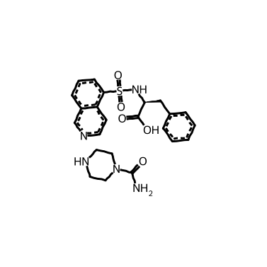 NC(=O)N1CCNCC1.O=C(O)[C@H](Cc1ccccc1)NS(=O)(=O)c1cccc2cnccc12